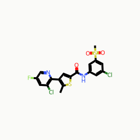 Cc1sc(C(=O)Nc2cc(Cl)cc(S(C)(=O)=O)c2)cc1-c1ncc(F)cc1Cl